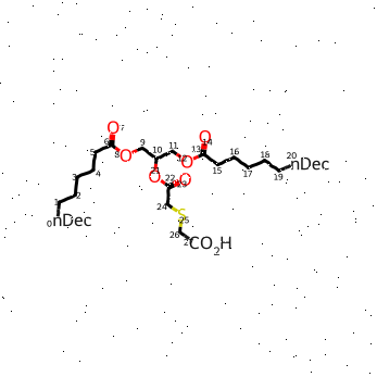 CCCCCCCCCCCCCCCC(=O)OCC(COC(=O)CCCCCCCCCCCCCCC)OC(=O)CSCC(=O)O